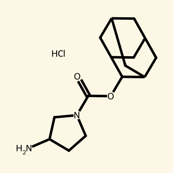 Cl.NC1CCN(C(=O)OC2C3CC4CC(C3)CC2C4)C1